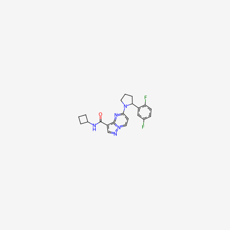 O=C(NC1CCC1)c1cnn2ccc(N3CCCC3c3cc(F)ccc3F)nc12